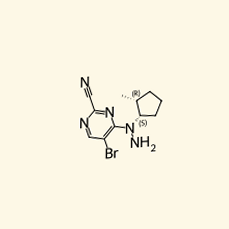 C[C@@H]1CCC[C@@H]1N(N)c1nc(C#N)ncc1Br